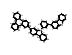 c1cc(-c2ccc3sc4ccccc4c3c2)cc(-n2c3ccccc3c3ccc(-c4ccc5c6ccccc6c6ccccc6c5c4)cc32)c1